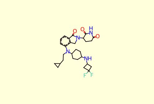 O=C1CCC(N2Cc3c(cccc3N(CCC3CC3)C3CCC(NC4CC(F)(F)C4)CC3)C2=O)C(=O)N1